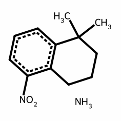 CC1(C)CCCc2c([N+](=O)[O-])cccc21.N